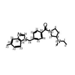 CCN(C)C1CCN(C(=O)c2ccc(Cn3cnc4cc(C)ccc43)cc2)C1